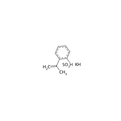 C=C(C)c1ccccc1S(=O)(=O)O.[KH]